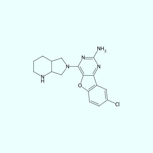 Nc1nc(N2CC3CCCNC3C2)c2oc3ccc(Cl)cc3c2n1